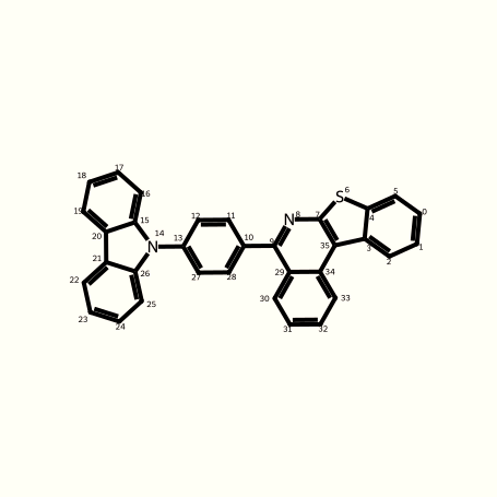 c1ccc2c(c1)sc1nc(-c3ccc(-n4c5ccccc5c5ccccc54)cc3)c3ccccc3c12